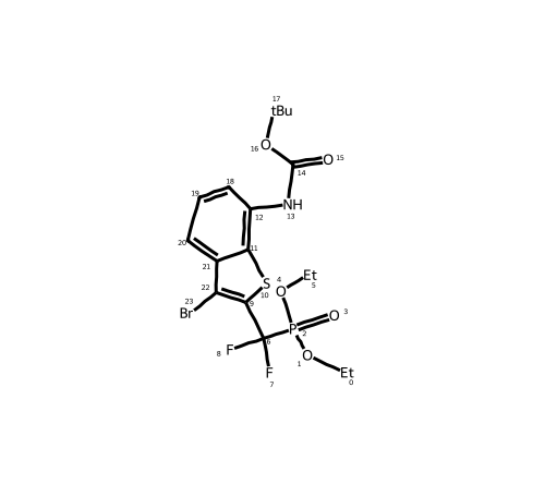 CCOP(=O)(OCC)C(F)(F)c1sc2c(NC(=O)OC(C)(C)C)cccc2c1Br